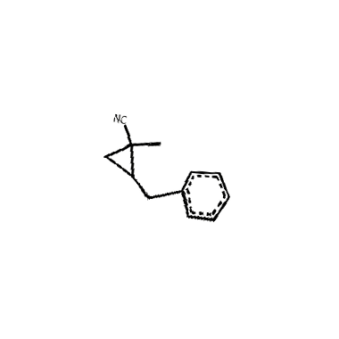 CC1(C#N)CC1Cc1ccccc1